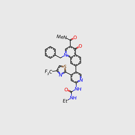 CCNC(=O)Nc1cc(-c2nc(C(F)(F)F)cs2)c(-c2ccc3c(=O)c(C(=O)NC)cn(Cc4ccccc4)c3c2)cn1